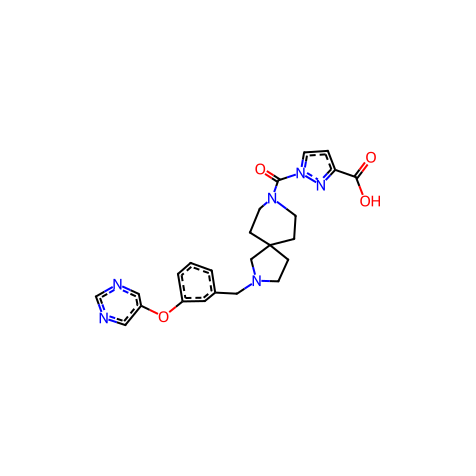 O=C(O)c1ccn(C(=O)N2CCC3(CCN(Cc4cccc(Oc5cncnc5)c4)C3)CC2)n1